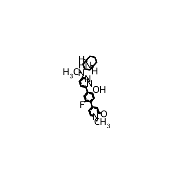 CN(c1ccc(-c2cc(F)c(-c3ccn(C)c(=O)c3)cc2O)nn1)[C@@H]1C[C@H]2CCC[C@@H](C1)N2